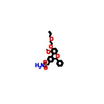 C=CCOCCOc1ccc2c(c1OC)-c1ccc(CS(N)(=O)=O)cc1C(c1ccccc1)O2